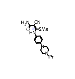 CS/C(Nc1ccc(N2CCN(C(C)C)CC2)cc1)=C(\C#N)C(N)=O